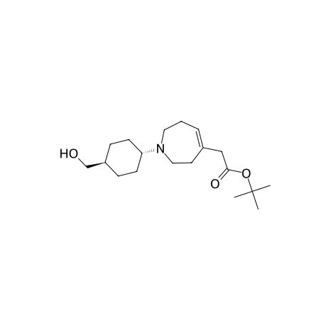 CC(C)(C)OC(=O)CC1=CCCN([C@H]2CC[C@H](CO)CC2)CC1